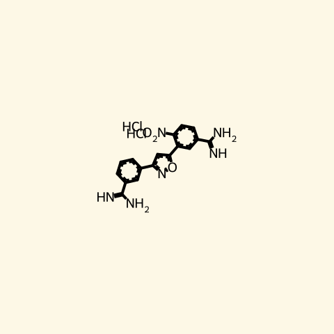 Cl.Cl.N=C(N)c1cccc(-c2cc(-c3cc(C(=N)N)ccc3[N+](=O)[O-])on2)c1